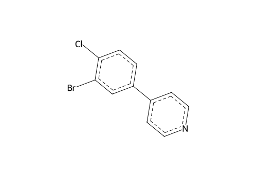 Clc1ccc(-c2ccncc2)cc1Br